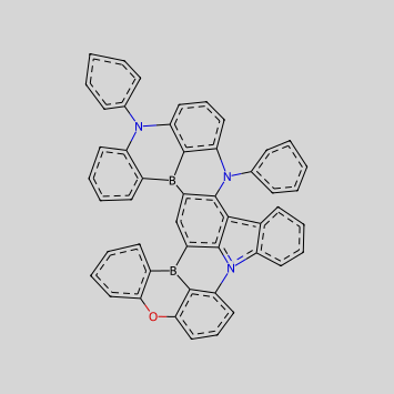 c1ccc(N2c3ccccc3B3c4cc5c6c(c4N(c4ccccc4)c4cccc2c43)c2ccccc2n6-c2cccc3c2B5c2ccccc2O3)cc1